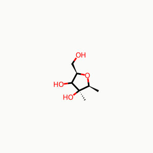 C[C@@H]1O[C@H](CO)C(O)[C@]1(C)O